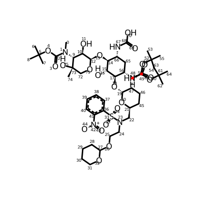 CN(C(=O)OC(C)(C)C)[C@@H]1[C@@H](O)[C@@H](O[C@@H]2[C@@H](O)[C@H](O[C@H]3O[C@H](CN(CCOC4CCCCO4)S(=O)(=O)c4ccccc4[N+](=O)[O-])CC[C@H]3NC(=O)OC(C)(C)C)[C@@H](NC(=O)OC(C)(C)C)C[C@H]2NC(=O)O)OC[C@]1(C)O